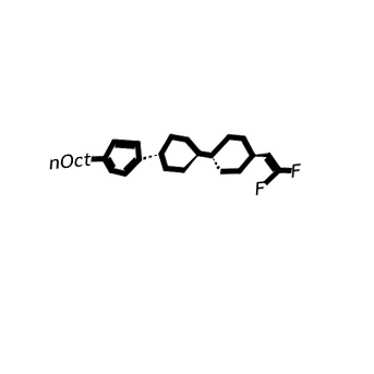 CCCCCCCCc1ccc([C@H]2CC[C@H]([C@H]3CC[C@H](C=C(F)F)CC3)CC2)cc1